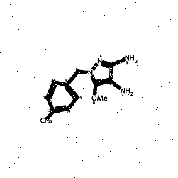 COc1c(N)c(N)nn1Cc1ccc(Cl)cc1